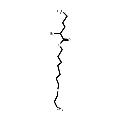 CCCCCCCCCCCOC(=O)C(Br)CCCC